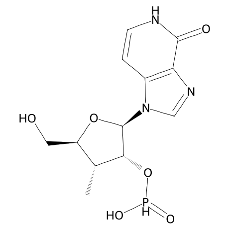 C[C@H]1[C@@H](O[PH](=O)O)[C@H](n2cnc3c(=O)[nH]ccc32)O[C@@H]1CO